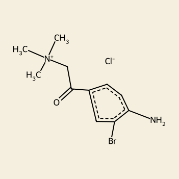 C[N+](C)(C)CC(=O)c1ccc(N)c(Br)c1.[Cl-]